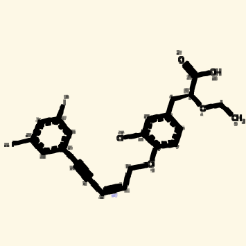 CCO[C@@H](Cc1ccc(OC/C=C\C#Cc2cc(I)cc(I)c2)c(Cl)c1)C(=O)O